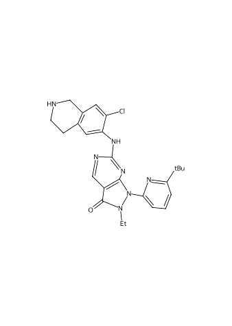 CCn1c(=O)c2cnc(Nc3cc4c(cc3Cl)CNCC4)nc2n1-c1cccc(C(C)(C)C)n1